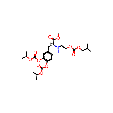 COC(=O)[C@H](Cc1ccc(OC(=O)OC(C)C)c(OC(=O)OC(C)C)c1)NCCOC(=O)OCC(C)C